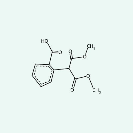 COC(=O)C(C(=O)OC)c1ccccc1C(=O)O